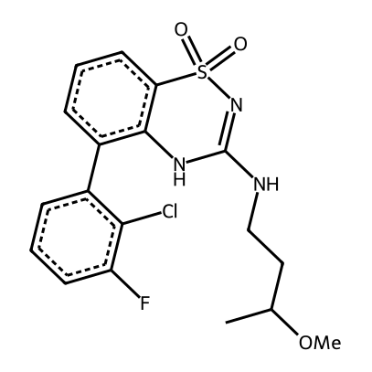 COC(C)CCNC1=NS(=O)(=O)c2cccc(-c3cccc(F)c3Cl)c2N1